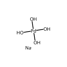 [Na].[OH][Pd]([OH])([OH])[OH]